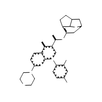 O=C(NC1=C2CCC3CC(C1)CC23)c1cn(-c2ccc(F)cc2F)c2nc(N3CCOCC3)ccc2c1=O